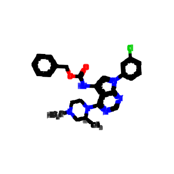 C[C@H]1CN(C(=O)O)CCN1c1ncnc2c1c(NC(=O)OCc1ccccc1)cn2-c1cccc(Cl)c1